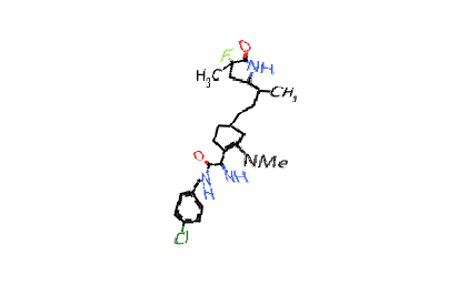 CNC1=C(C(=N)C(=O)NCc2ccc(Cl)cc2)CCC(CCC(C)C2CC(C)(F)C(=O)N2)C1